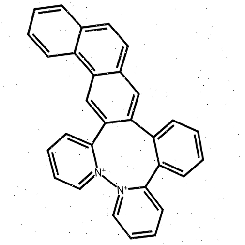 c1ccc2c(c1)-c1cc3ccc4ccccc4c3cc1-c1cccc[n+]1-[n+]1ccccc1-2